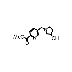 COC(=O)c1ccc(CN2CCC(O)C2)cn1